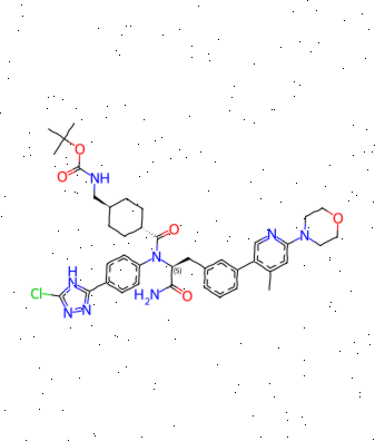 Cc1cc(N2CCOCC2)ncc1-c1cccc(C[C@@H](C(N)=O)N(c2ccc(-c3nnc(Cl)[nH]3)cc2)C(=O)[C@H]2CC[C@H](CNC(=O)OC(C)(C)C)CC2)c1